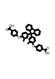 Cc1cc(C2(c3ccc(Oc4ccc(C(=O)O)cc4)c(C)c3)c3ccccc3-c3ccccc32)ccc1Oc1ccc(C(=O)O)cc1